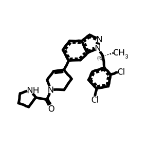 C[C@H](c1ccc(Cl)cc1Cl)n1ncc2ccc(C3=CCN(C(=O)C4CCCN4)CC3)cc21